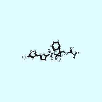 CCNC(=O)OCC1(c2ccccc2)CC1(NS(=O)(=O)C1CC=C(c2cc(C(F)(F)F)on2)S1)C(=O)O